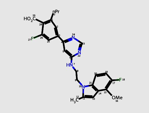 CCCc1cc(-c2cc(NCCn3c(C)cc4c(OC)c(F)ccc43)ncn2)cc(F)c1C(=O)O